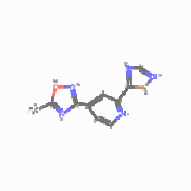 FC(F)(F)c1nc(-c2ccnc(-c3ncns3)c2)no1